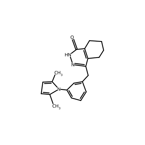 Cc1ccc(C)n1-c1cccc(Cc2n[nH]c(=O)c3c2CCCC3)c1